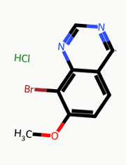 COc1ccc2[c]ncnc2c1Br.Cl